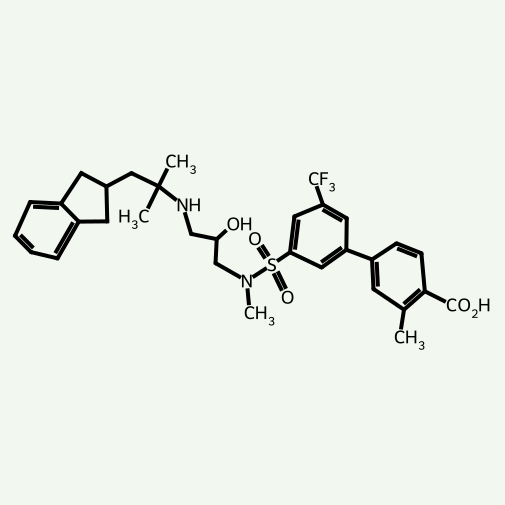 Cc1cc(-c2cc(C(F)(F)F)cc(S(=O)(=O)N(C)CC(O)CNC(C)(C)CC3Cc4ccccc4C3)c2)ccc1C(=O)O